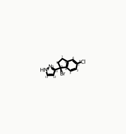 Clc1ccc2c(c1)CCC2(Br)c1cc[nH]n1